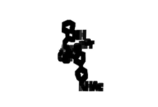 CCCOc1ccc(-c2ccc(NC(C)=O)cc2)cc1C(=O)N[C@H](CO)Cc1c[nH]c2ccccc12